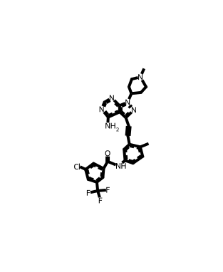 Cc1ccc(NC(=O)c2cc(Cl)cc(C(F)(F)F)c2)cc1C#Cc1nn(C2CCN(C)CC2)c2ncnc(N)c12